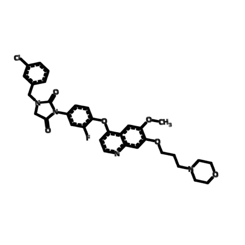 COc1cc2c(Oc3ccc(N4C(=O)CN(Cc5cccc(Cl)c5)C4=O)cc3F)ccnc2cc1OCCCN1CCOCC1